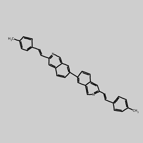 Cc1ccc(/C=C/c2cc3ccc(-c4ccc5cc(/C=C/c6ccc(C)cc6)ncc5c4)cc3cn2)cc1